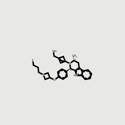 C[C@@H]1Cc2c([nH]c3ccccc23)[C@@H](c2ccc(OC3CN(CCCF)C3)cc2)N1C12CC(CO)(C1)C2